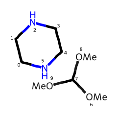 C1CNCCN1.COC(OC)OC